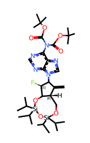 C=C1C(n2cnc3c(N(C(=O)OC(C)(C)C)C(=O)OC(C)(C)C)ncnc32)[C@H](F)C2O[Si](C(C)C)(C(C)C)O[Si](C(C)C)(C(C)C)OC[C@@H]12